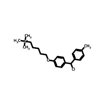 Cc1ccc(C(Cl)c2ccc(OCCCCC[N+](C)(C)C)cc2)cc1